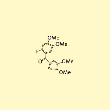 COc1ccc(C(=O)c2cc(OC)c(OC)cc2I)cc1OC